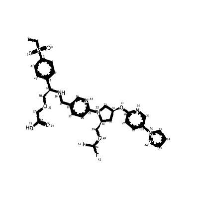 CCS(=O)(=O)c1ccc([C@H](COCC(=O)O)NCc2ccc(N3C[C@@H](Oc4ccc(-n5cccn5)cn4)C[C@H]3COC(F)F)nc2)cc1